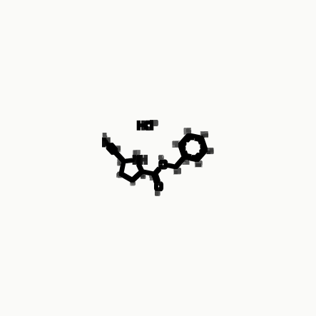 Cl.N#CC1CCC(C(=O)OCc2ccccc2)N1